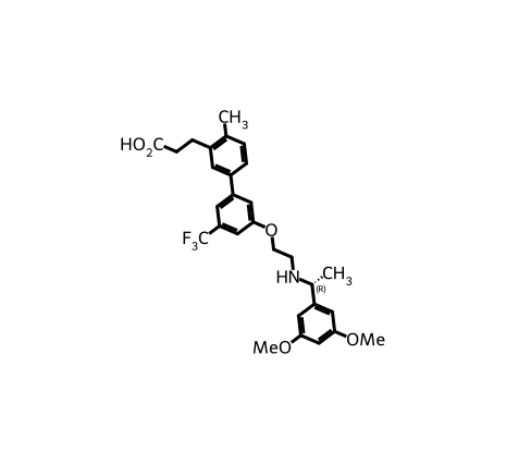 COc1cc(OC)cc([C@@H](C)NCCOc2cc(-c3ccc(C)c(CCC(=O)O)c3)cc(C(F)(F)F)c2)c1